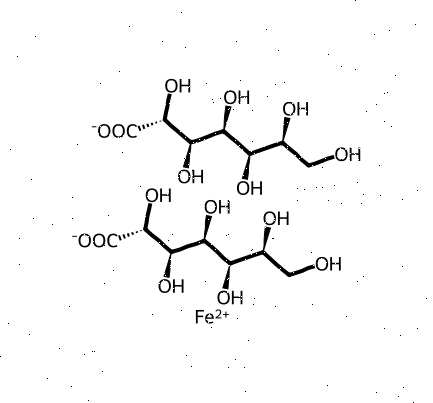 O=C([O-])[C@H](O)[C@H](O)[C@@H](O)[C@H](O)[C@@H](O)CO.O=C([O-])[C@H](O)[C@H](O)[C@@H](O)[C@H](O)[C@@H](O)CO.[Fe+2]